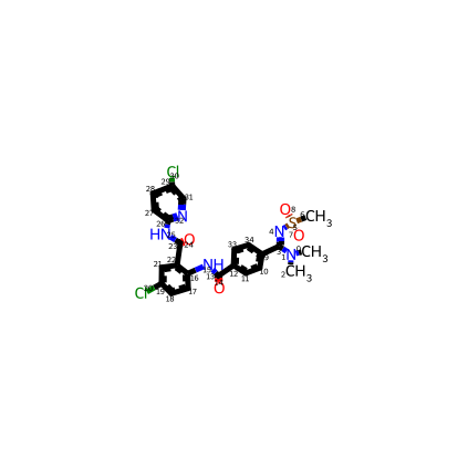 CN(C)/C(=N\S(C)(=O)=O)c1ccc(C(=O)Nc2ccc(Cl)cc2C(=O)Nc2ccc(Cl)cn2)cc1